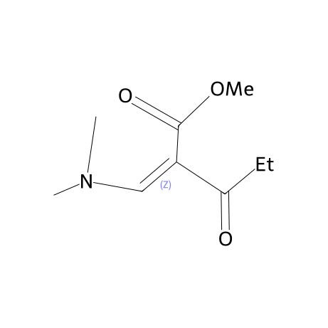 CCC(=O)/C(=C/N(C)C)C(=O)OC